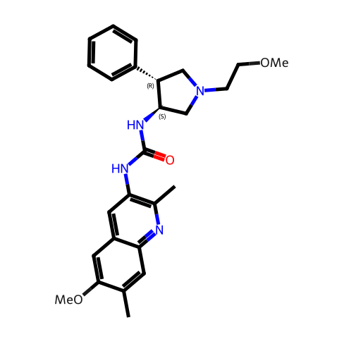 COCCN1C[C@@H](NC(=O)Nc2cc3cc(OC)c(C)cc3nc2C)[C@H](c2ccccc2)C1